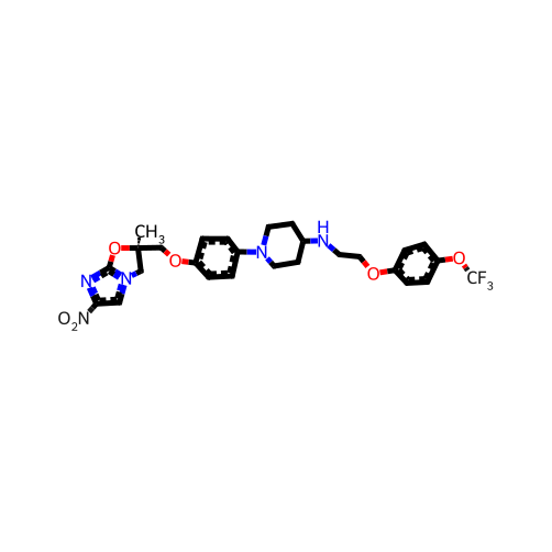 C[C@]1(COc2ccc(N3CCC(NCCOc4ccc(OC(F)(F)F)cc4)CC3)cc2)Cn2cc([N+](=O)[O-])nc2O1